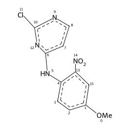 COc1ccc(Nc2ccnc(Cl)n2)c([N+](=O)[O-])c1